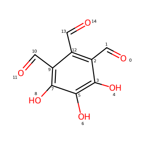 O=Cc1c(O)c(O)c(O)c(C=O)c1C=O